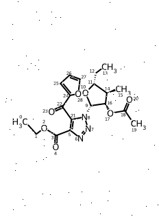 CCOC(=O)c1nnn([C@@H]2O[C@H](CC)[C@@H](C)[C@H]2OC(C)=O)c1C(=O)c1ccco1